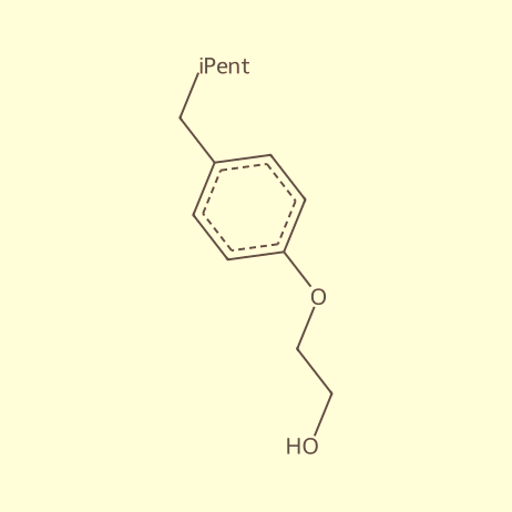 CCCC(C)Cc1ccc(OCCO)cc1